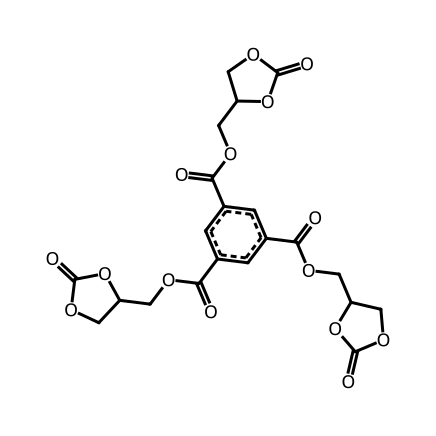 O=C1OCC(COC(=O)c2cc(C(=O)OCC3COC(=O)O3)cc(C(=O)OCC3COC(=O)O3)c2)O1